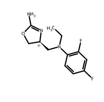 CCN(C[C@H]1COC(N)=N1)c1ccc(F)cc1F